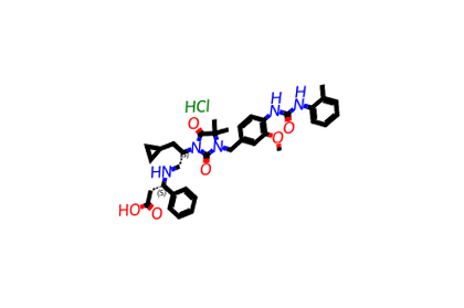 COc1cc(CN2C(=O)N([C@H](CN[C@@H](CC(=O)O)c3ccccc3)CC3CC3)C(=O)C2(C)C)ccc1NC(=O)Nc1ccccc1C.Cl